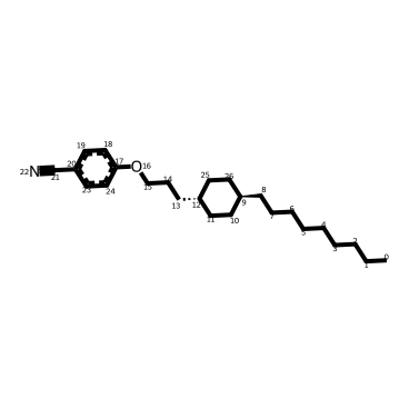 CCCCCCCCC[C@H]1CC[C@H](CCCOc2ccc(C#N)cc2)CC1